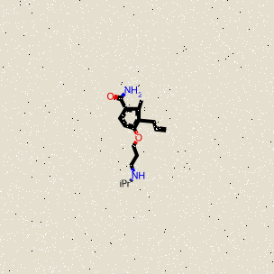 C=CCc1c(OCCCNC(C)C)ccc(C(N)=O)c1C